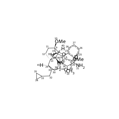 COc1ccc2c3c1O[C@H]1[C@@]4(OC)CC[C@@]5(C[C@@H]4C(NC(C)C(N)=O)c4ccccc4)[C@@H](C2)C(CC2CC2)CC[C@]315